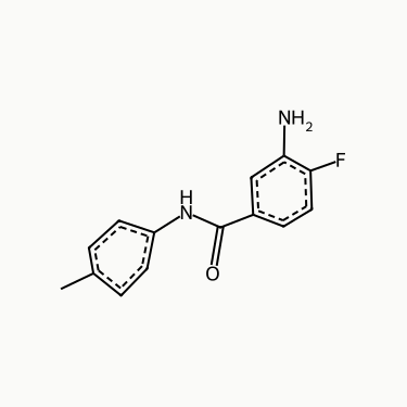 Cc1ccc(NC(=O)c2ccc(F)c(N)c2)cc1